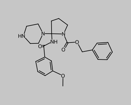 COc1cccc(C(=O)NC2(N3CCNCC3)CCCN2C(=O)OCc2ccccc2)c1